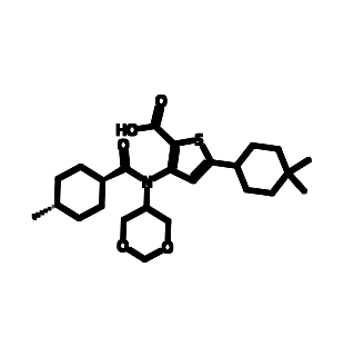 CC1(C)CCC(c2cc(N(C(=O)[C@H]3CC[C@H](C)CC3)C3COCOC3)c(C(=O)O)s2)CC1